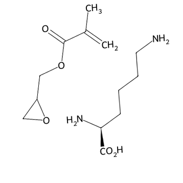 C=C(C)C(=O)OCC1CO1.NCCCC[C@H](N)C(=O)O